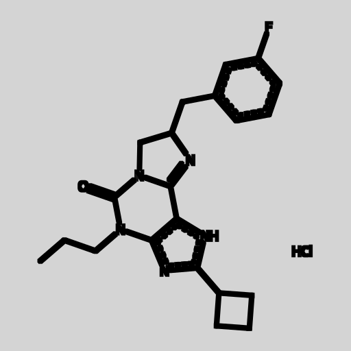 CCCN1C(=O)N2CC(Cc3cccc(F)c3)N=C2c2[nH]c(C3CCC3)nc21.Cl